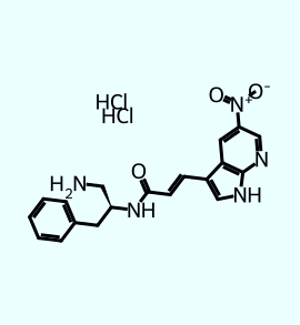 Cl.Cl.NC[C@H](Cc1ccccc1)NC(=O)C=Cc1c[nH]c2ncc([N+](=O)[O-])cc12